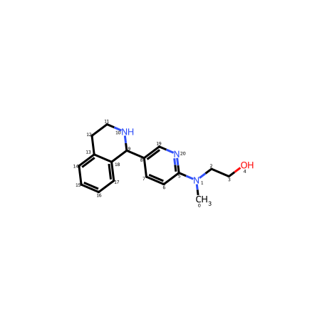 CN(CCO)c1ccc(C2NCCc3ccccc32)cn1